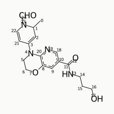 CC1C=C(N2CCOc3cc(C(=O)NCCCO)cnc32)C=CN1C=O